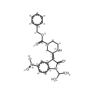 CC(C)N1C(=O)/C(=C2/CN(C(=O)OCc3ccccc3)CCN2)c2cc([N+](=O)[O-])ccc21